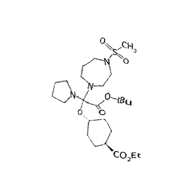 CCOC(=O)[C@H]1CC[C@H](OC(C(=O)OC(C)(C)C)(N2CCCC2)N2CCCN(S(C)(=O)=O)CC2)CC1